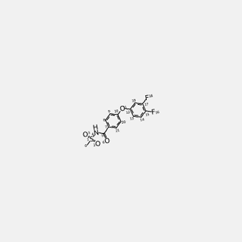 CS(=O)(=O)NC(=O)c1ccc(Oc2ccc(F)c(F)c2)cc1